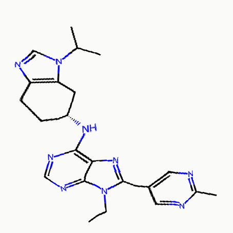 CCn1c(-c2cnc(C)nc2)nc2c(N[C@@H]3CCc4ncn(C(C)C)c4C3)ncnc21